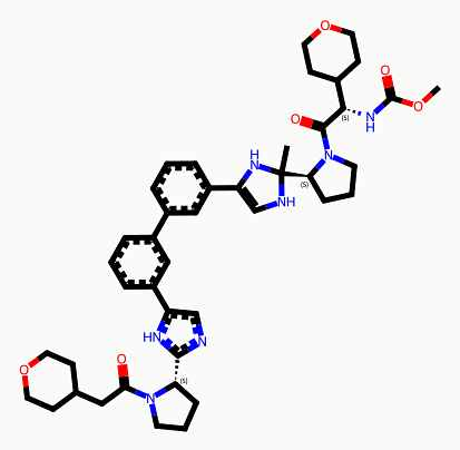 COC(=O)N[C@H](C(=O)N1CCC[C@H]1C1(C)NC=C(c2cccc(-c3cccc(-c4cnc([C@@H]5CCCN5C(=O)CC5CCOCC5)[nH]4)c3)c2)N1)C1CCOCC1